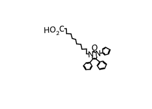 O=C(O)CCCCCCCCCCn1c(-c2ccccc2)c(-c2ccccc2)n(-c2ccccc2)c1=O